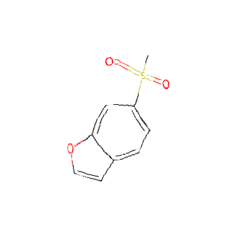 CS(=O)(=O)c1ccc2ccoc2c1